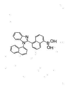 OB(O)c1cccc2c(-c3nc4ccccc4n3-c3cccc4ccccc34)cccc12